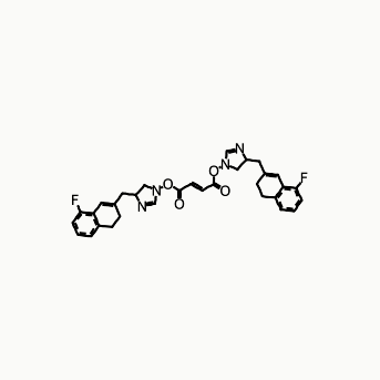 O=C(/C=C/C(=O)ON1C=NC(CC2=Cc3c(F)cccc3CC2)C1)ON1C=NC(CC2=Cc3c(F)cccc3CC2)C1